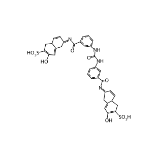 O=C(Nc1cccc(C(=O)N=C2C=CC3CC(S(=O)(=O)O)=C(O)C=C3C2)c1)Nc1cccc(C(=O)N=C2C=CC3CC(S(=O)(=O)O)=C(O)C=C3C2)c1